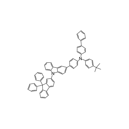 CC(C)(C)c1ccc(N(c2ccc(-c3ccccc3)cc2)c2ccc(-c3ccc4c(c3)c3ccccc3n4-c3ccc4c(c3)C(c3ccccc3)(c3ccccc3)c3ccccc3-4)cc2)cc1